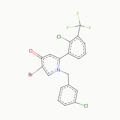 O=c1cc(-c2cccc(C(F)(F)F)c2Cl)n(Cc2cccc(Cl)c2)cc1Br